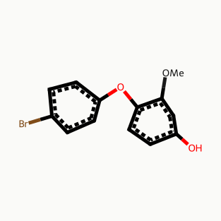 COc1cc(O)ccc1Oc1ccc(Br)cc1